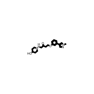 Cn1cc(-c2c[c]cc(OCCC(=O)CNN3CCC(O)CC3)c2)cn1